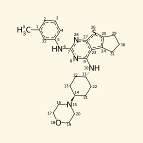 Cc1cccc(Nc2nc(N[C@H]3CC[C@H](N4CCOCC4)CC3)c3c4c(sc3n2)CCC4)c1